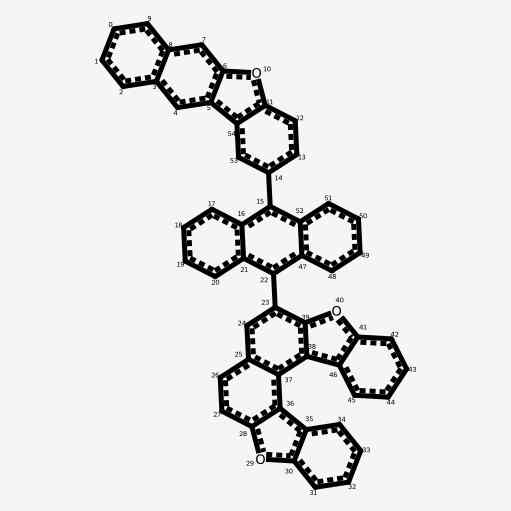 c1ccc2cc3c(cc2c1)oc1ccc(-c2c4ccccc4c(-c4cc5ccc6oc7ccccc7c6c5c5c4oc4ccccc45)c4ccccc24)cc13